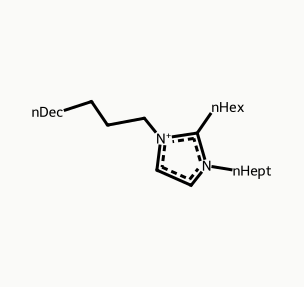 CCCCCCCCCCCCC[n+]1ccn(CCCCCCC)c1CCCCCC